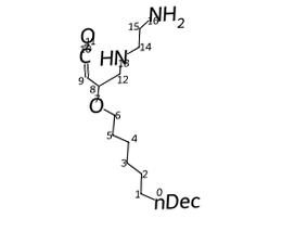 CCCCCCCCCCCCCCCCOC(C=C=O)CNCCN